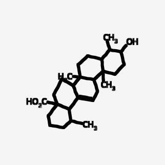 CC1CCCC2(C(=O)O)CCC3C(=CCC4C3(C)CCC3C(C)C(O)CCC34C)C12